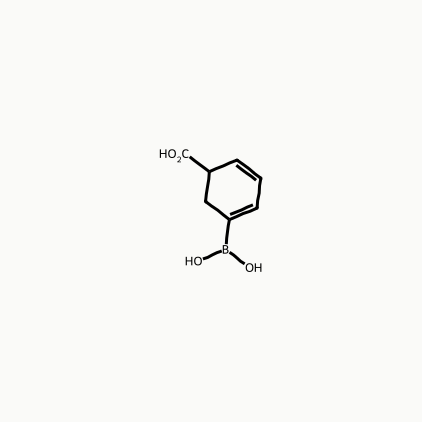 O=C(O)C1C=CC=C(B(O)O)C1